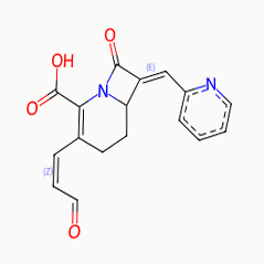 O=C/C=C\C1=C(C(=O)O)N2C(=O)/C(=C/c3ccccn3)C2CC1